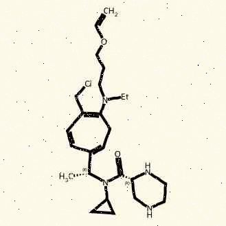 C=COCCCN(CC)C1=C(CCl)C=CC([C@@H](C)N(C(=O)[C@H]2CNCCN2)C2CC2)=CC1